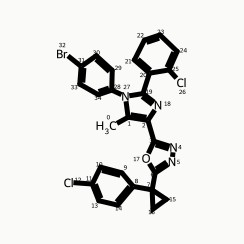 Cc1c(-c2nnc(C3(c4ccc(Cl)cc4)CC3)o2)nc(-c2ccccc2Cl)n1-c1ccc(Br)cc1